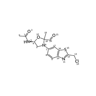 CC(=O)N[C@@H]1CN(c2ccc3nc(CCl)sc3c2)C(C)(C=O)O1